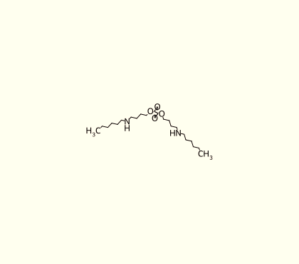 CCCCCCNCCCCOS(=O)(=O)OCCCCNCCCCCC